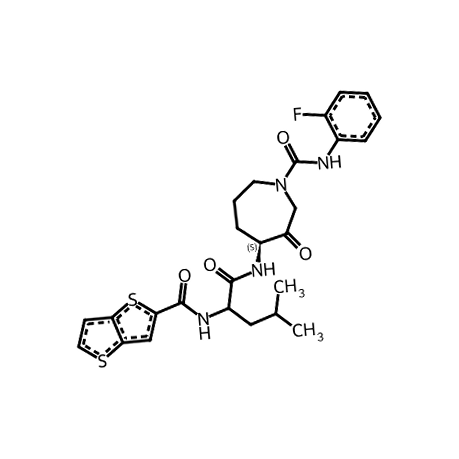 CC(C)CC(NC(=O)c1cc2sccc2s1)C(=O)N[C@H]1CCCN(C(=O)Nc2ccccc2F)CC1=O